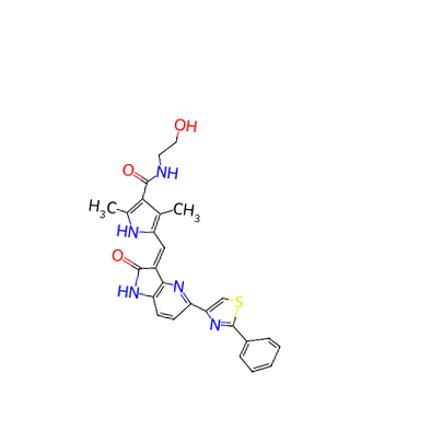 Cc1[nH]c(/C=C2\C(=O)Nc3ccc(-c4csc(-c5ccccc5)n4)nc32)c(C)c1C(=O)NCCO